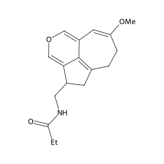 CCC(=O)NCC1CC2=C3C(=COC=C31)C=C(OC)CC2